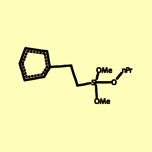 CCCO[Si](CCc1ccccc1)(OC)OC